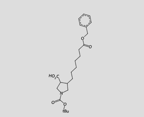 CC(C)(C)OC(=O)N1CC(CCCCCCC(=O)OCc2ccccc2)C(C(=O)O)C1